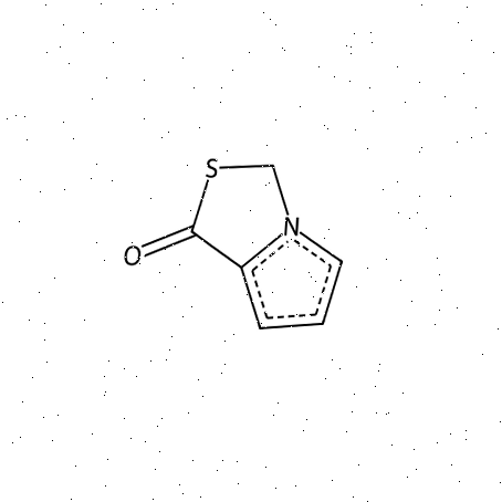 O=C1SCn2cccc21